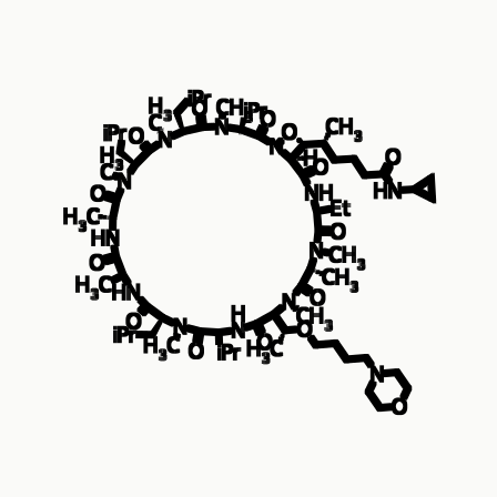 CCC1NC(=O)[C@@H]2[C@@H]([C@H](C)CCCC(=O)NC3CC3)ON2C(=O)[C@H](C(C)C)N(C)C(=O)[C@H](CC(C)C)N(C)C(=O)[C@H](CC(C)C)N(C)C(=O)[C@@H](C)NC(=O)C(C)NC(=O)[C@H](CC(C)C)N(C)C(=O)C(C(C)C)NC(=O)C([C@@H](C)OCCCCN2CCOCC2)N(C)C(=O)[C@@H](C)N(C)C1=O